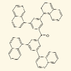 O=C(c1cc(C2=c3ccccc3=CCC2)cc(-c2cccc3ccccc23)c1)c1cc(-c2cccc3ccccc23)cc(-c2cccc3ccccc23)c1